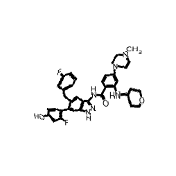 CN1CCN(c2ccc(C(=O)Nc3n[nH]c4cc(-c5ccc(O)cc5F)c(Cc5cccc(F)c5)cc34)c(NC3CCOCC3)c2)CC1